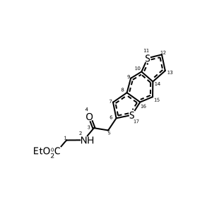 CCOC(=O)CNC(=O)Cc1cc2cc3sccc3cc2s1